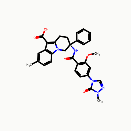 COc1cc(-n2cnn(C)c2=O)ccc1C(=O)N[C@]1(c2ccccc2)CCc2c(C(=O)O)c3cc(C)ccc3n2C1